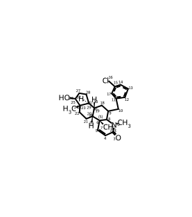 CN1C(=O)C=C[C@@]2(C)C1C(Cc1cccc(Cl)c1)C[C@@H]1[C@H]2CC[C@]2(C)C(O)CC[C@@H]12